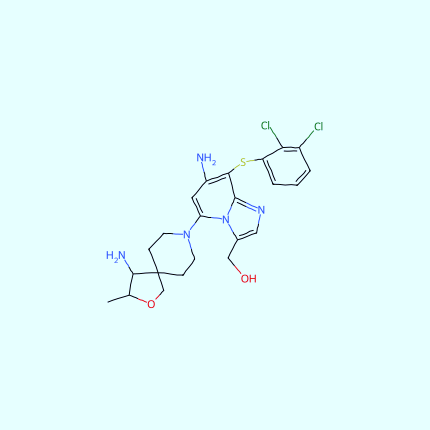 CC1OCC2(CCN(c3cc(N)c(Sc4cccc(Cl)c4Cl)c4ncc(CO)n34)CC2)C1N